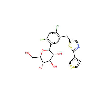 OC[C@H]1O[C@@H](c2cc(Cc3cnc(-c4ccsc4)s3)c(Cl)cc2F)[C@H](O)[C@@H](O)[C@@H]1O